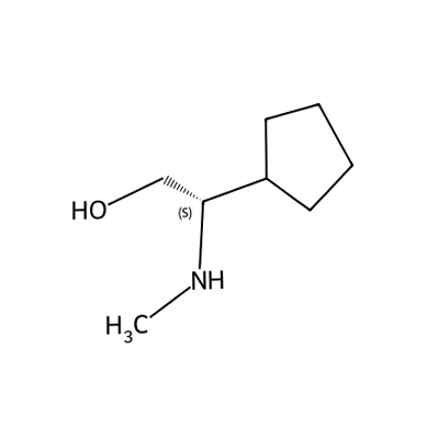 CN[C@H](CO)C1CCCC1